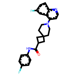 O=C(Nc1ccc(F)cc1)C1CC2(CCN(c3ccnc4ccc(F)cc34)CC2)C1